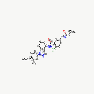 COCC(=O)NCc1ccc(Cl)c(C(=O)Nc2cccc3c2cnn3-c2ccc(OC)c(C(F)(F)F)c2)c1